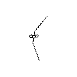 CCCCCCCCCCCCCCC#Cc1cc(OC)c(C#CCCCCCCCCCCCCCC)c2ccccc12